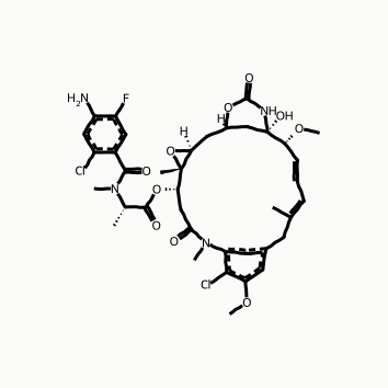 COc1cc2cc(c1Cl)N(C)C(=O)C[C@H](OC(=O)[C@H](C)N(C)C(=O)c1cc(F)c(N)cc1Cl)[C@]1(C)O[C@H]1C[C@@H]1C[C@@](O)(NC(=O)O1)[C@H](OC)/C=C/C=C(\C)C2